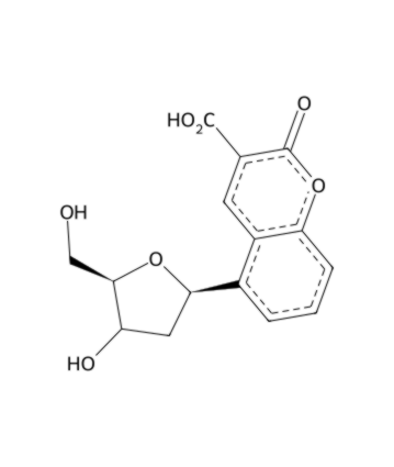 O=C(O)c1cc2c([C@H]3CC(O)[C@@H](CO)O3)cccc2oc1=O